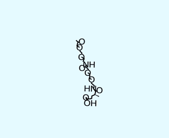 CC(=O)COCCOCCNC(=O)COCCOCCNC(=O)[C@@H](C)CCC(=O)O